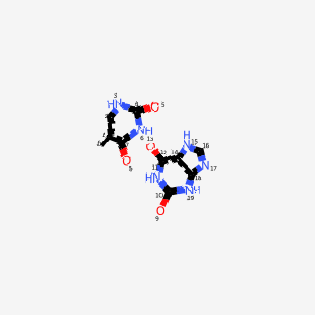 Cc1c[nH]c(=O)[nH]c1=O.O=c1[nH]c(=O)c2[nH]cnc2[nH]1